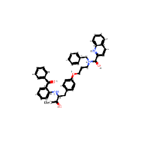 COC(=O)C(Cc1ccc(OCCCN(Cc2ccccc2)C(=O)c2ccc3ccccc3n2)cc1)Nc1ccccc1C(=O)c1ccccc1